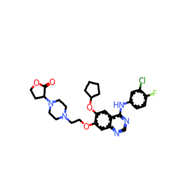 O=C1OCCC1N1CCN(CCOc2cc3ncnc(Nc4ccc(F)c(Cl)c4)c3cc2OC2CCCC2)CC1